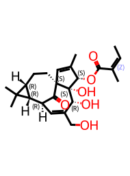 C/C=C(/C)C(=O)O[C@H]1C(C)=C[C@@]23CC[C@@H]4[C@H]([C@H](C=C(CO)[C@@H](O)[C@]12O)C3=O)C4(C)C